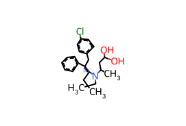 CC(CC(O)O)N1CC(C)(C)C/C1=C(/Cc1ccc(Cl)cc1)c1ccccc1